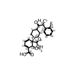 CC(C(=O)C1CCN(C2(C(=O)O)C=CC=C(C(=O)O)C2C)CC1)c1ccccc1F